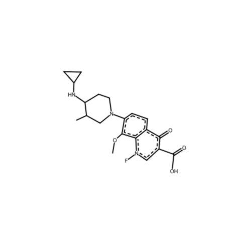 COc1c(N2CCC(NC3CC3)C(C)C2)ccc2c(=O)c(C(=O)O)cn(F)c12